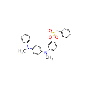 CN(c1ccccc1)c1ccc(N(C)c2cccc(OS(=O)(=O)Cc3ccccc3)c2)cc1